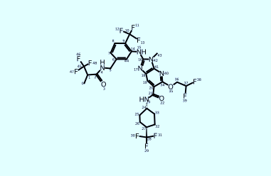 CC(C(=O)NCc1ccc(C(F)(F)F)c(Nc2nc3cc(C(=O)N[C@H]4CC[C@H](C(F)(F)F)CC4)c(OCC(F)F)nc3n2C)c1)C(F)(F)F